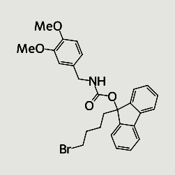 COc1ccc(CNC(=O)OC2(CCCCBr)c3ccccc3-c3ccccc32)cc1OC